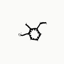 CCc1cccc(Cl)c1C